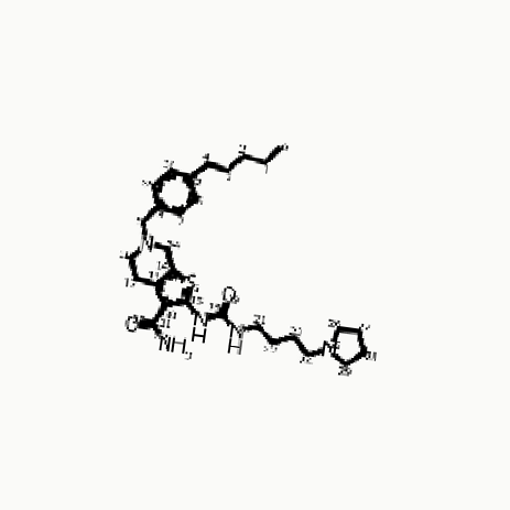 CCCCCc1ccc(CN2CCc3c(sc(NC(=O)NCCCCN4CCCC4)c3C(N)=O)C2)cc1